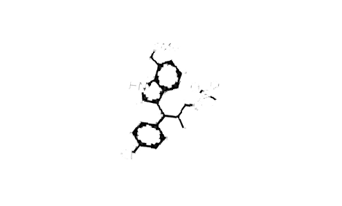 CSCc1cccc2c(C(c3ccc(Cl)cc3)C(C)COS(C)(=O)=O)c[nH]c12